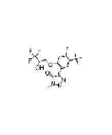 Cn1nnn(-c2cc(C(C)(C)C)c(F)cc2OCC(O)C(F)(F)F)c1=O